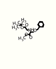 COC(=O)C(COCc1ccccc1)NCC(=O)OC(C)(C)C